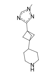 Cn1cnc(C23CC(C4CCNCC4)(C2)C3)n1